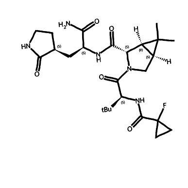 CC(C)(C)[C@H](NC(=O)C1(F)CC1)C(=O)N1C[C@H]2[C@@H]([C@H]1C(=O)N[C@@H](C[C@@H]1CCNC1=O)C(N)=O)C2(C)C